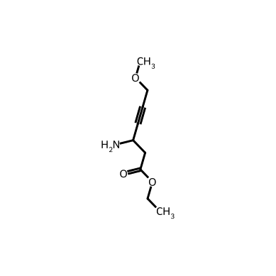 CCOC(=O)CC(N)C#CCOC